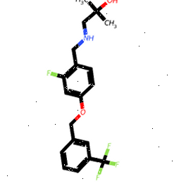 CC(C)(O)CNCc1ccc(OCc2cccc(C(F)(F)F)c2)cc1F